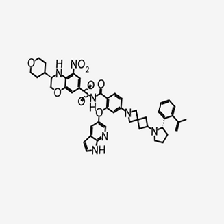 C=C(C)c1ccccc1[C@@H]1CCCN1C1CC2(C1)CN(c1ccc(C(=O)NS(=O)(=O)c3cc4c(c([N+](=O)[O-])c3)N[C@H](C3CCOCC3)CO4)c(Oc3cnc4[nH]ccc4c3)c1)C2